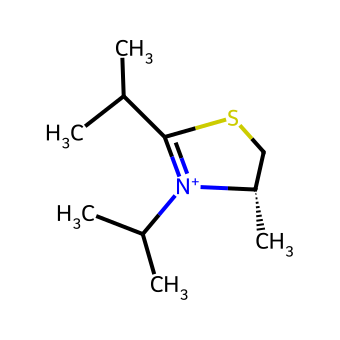 CC(C)C1=[N+](C(C)C)[C@@H](C)CS1